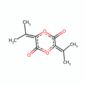 CC(C)=c1oc(=O)c(=C(C)C)oc1=O